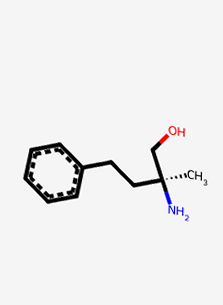 C[C@@](N)(CO)CCc1ccccc1